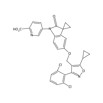 O=C(O)c1ccc(N2C(=O)C3(CC3)c3cc(OCc4c(-c5c(Cl)cccc5Cl)noc4C4CC4)ccc32)cn1